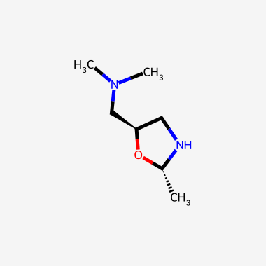 C[C@H]1NC[C@H](CN(C)C)O1